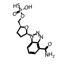 NC(=O)c1cccc2c1nnn2[C@H]1CC[C@@H](CO[P@](=O)(O)S)O1